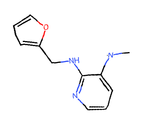 C[N]c1cccnc1NCc1ccco1